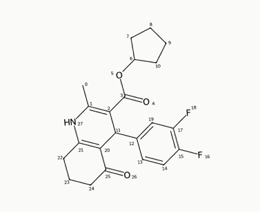 CC1=C(C(=O)OC2CCCC2)C(c2ccc(F)c(F)c2)C2=C(CCCC2=O)N1